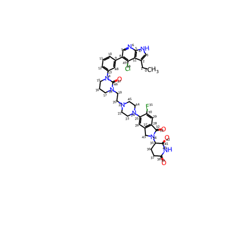 CCc1c[nH]c2ncc(-c3cccc(N4CCCN(CCN5CCN(c6cc7c(cc6F)C(=O)N(C6CCC(=O)NC6=O)C7)CC5)C4=O)c3)c(Cl)c12